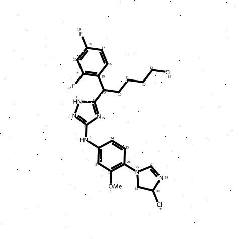 COc1cc(Nc2n[nH]c(C(CCCCCl)c3ccc(F)cc3F)n2)ccc1N1C=NC(Cl)C1